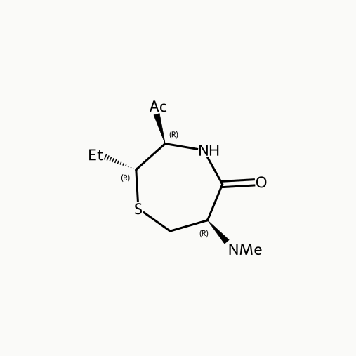 CC[C@H]1SC[C@H](NC)C(=O)N[C@@H]1C(C)=O